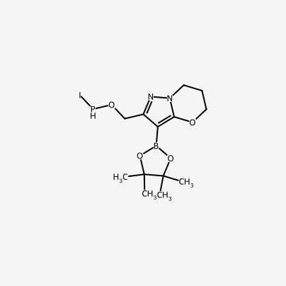 CC1(C)OB(c2c(COPI)nn3c2OCCC3)OC1(C)C